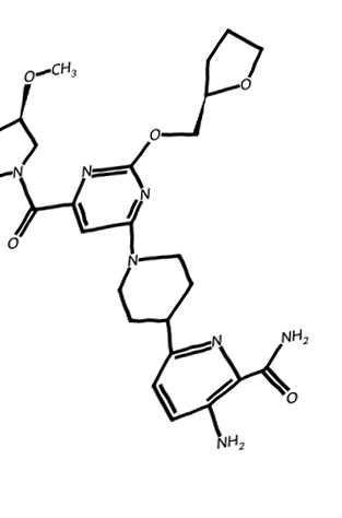 CO[C@@H]1CCN(C(=O)c2cc(N3CCC(c4ccc(N)c(C(N)=O)n4)CC3)nc(OC[C@H]3CCCO3)n2)C1